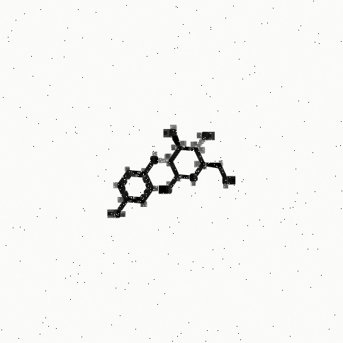 OC[C@H]1OC(O)[C@H](Oc2ccc(O)cc2)[C@@H](O)[C@@H]1O